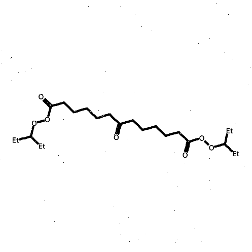 CCC(CC)OOC(=O)CCCCCC(=O)CCCCCC(=O)OOC(CC)CC